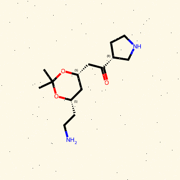 CC1(C)O[C@H](CC(=O)[C@@H]2CCNC2)C[C@H](CCN)O1